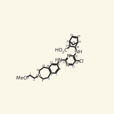 COCCN1CCc2ccc(Nc3ncc(Cl)c(NC4C5C=CC(C5)C4C(=O)O)n3)cc2CC1